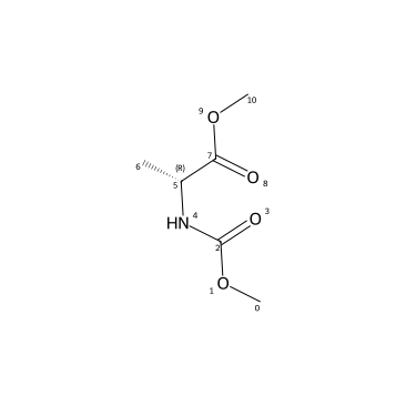 COC(=O)N[C@H](C)C(=O)OC